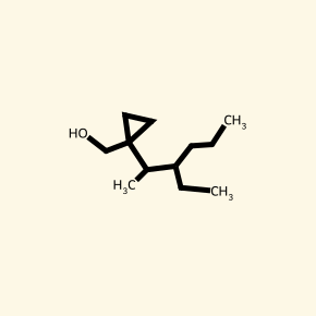 CCCC(CC)C(C)C1(CO)CC1